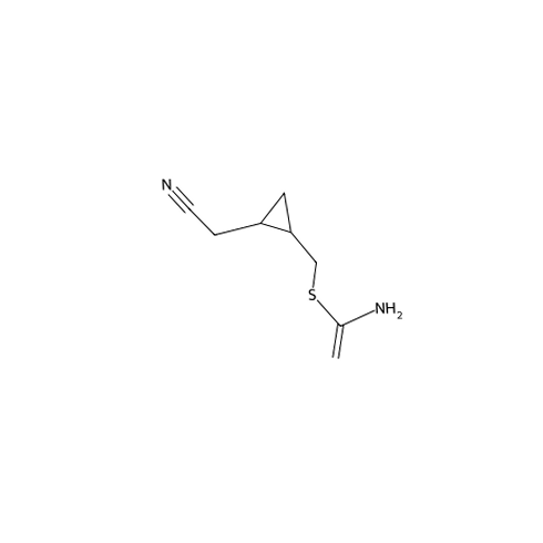 C=C(N)SCC1CC1CC#N